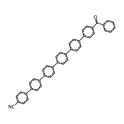 N#Cc1ccc(-c2ccc(-c3ccc(-c4ccc(-c5ccc(-c6ccc(C(=O)c7ccccc7)cc6)cc5)cc4)cc3)cc2)cc1